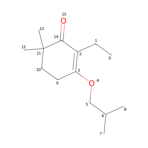 CCC1=C(OCC(C)C)CCC(C)(C)C1=O